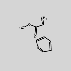 C=CC(=O)OO.c1ccncc1